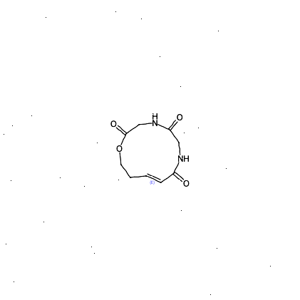 O=C1/C=C/CCOC(=O)CNC(=O)CN1